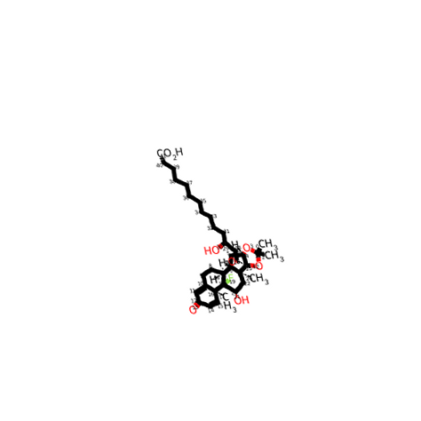 CC1(C)O[C@@H]2C[C@H]3[C@@H]4CCC5=CC(=O)C=C[C@]5(C)C4(F)[C@@H](O)C[C@]3(C)[C@]2(C(=O)CC(O)CCCCCCCCCCC(=O)O)O1